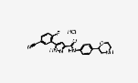 Cl.N#Cc1ccc(F)c(-c2cc(C(=O)Nc3ccc(C4CNCCO4)cc3)n[nH]2)c1